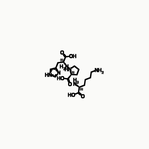 NCCCC[C@H](N)C(=O)O.N[C@@H](Cc1c[nH]cn1)C(=O)O.O=C(O)[C@@H]1CCCN1